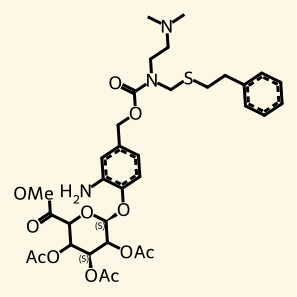 COC(=O)C1O[C@@H](Oc2ccc(COC(=O)N(CCN(C)C)CSCCc3ccccc3)cc2N)C(OC(C)=O)[C@@H](OC(C)=O)C1OC(C)=O